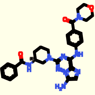 Nc1cnc2c(Nc3ccc(C(=O)N4CCOCC4)cc3)nc(N3CCC[C@@H](NC(=O)c4ccccc4)C3)nn12